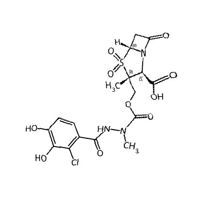 CN(NC(=O)c1ccc(O)c(O)c1Cl)C(=O)OC[C@@]1(C)[C@H](C(=O)O)N2C(=O)C[C@H]2S1(=O)=O